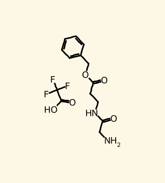 NCC(=O)NCCC(=O)OCc1ccccc1.O=C(O)C(F)(F)F